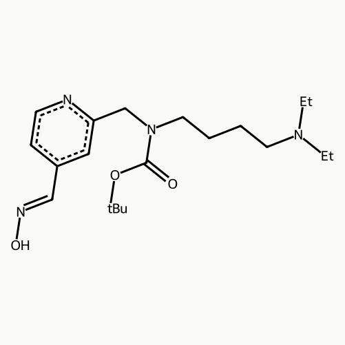 CCN(CC)CCCCN(Cc1cc(C=NO)ccn1)C(=O)OC(C)(C)C